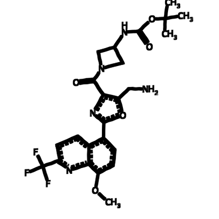 COc1ccc(-c2nc(C(=O)N3CC(NC(=O)OC(C)(C)C)C3)c(CN)o2)c2ccc(C(F)(F)F)nc12